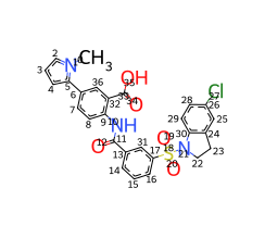 Cn1cccc1-c1ccc(NC(=O)c2cccc(S(=O)(=O)N3CCc4cc(Cl)ccc43)c2)c(C(=O)O)c1